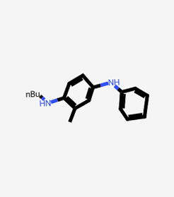 CCCCNc1ccc(Nc2ccccc2)cc1C